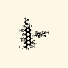 CN(C)CC(=O)Nc1c(Cl)cc2c(c1O)C(=O)C1=C(O)[C@]3(O)C(=O)C(C(N)=O)=C(O)[C@@H](N(C)C)C3CC1C2.O=S(=O)(O)O.O=S(=O)(O)O